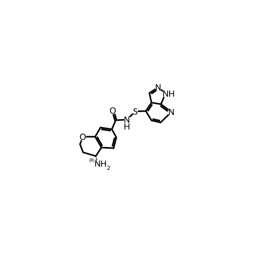 N[C@@H]1CCOc2cc(C(=O)NSc3ccnc4[nH]ncc34)ccc21